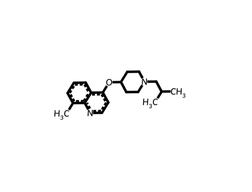 Cc1cccc2c(OC3CCN(CC(C)C)CC3)ccnc12